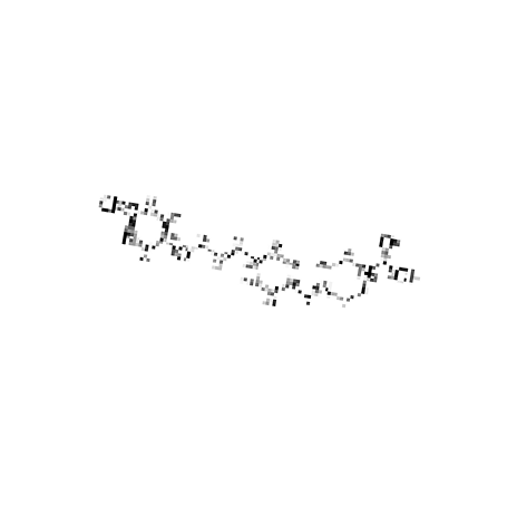 O=C(O)N1CCN(Cc2ccc(/C=C/COc3ccc(Cl)nc3)cc2)CC1